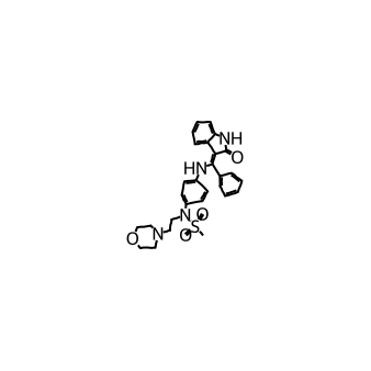 CS(=O)(=O)N(CCN1CCOCC1)c1ccc(NC(=C2C(=O)Nc3ccccc32)c2ccccc2)cc1